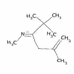 C=C(C)C/C(=N\C)C(C)(C)C